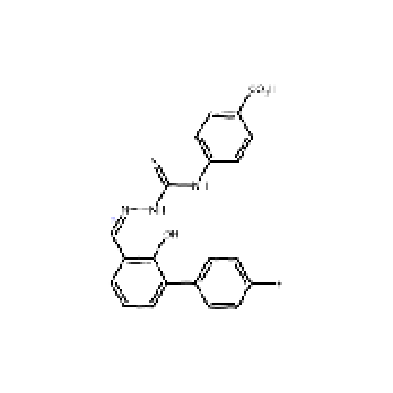 O=C(O)c1ccc(NC(=S)N/N=C\c2cccc(-c3ccc(F)cc3)c2O)cc1